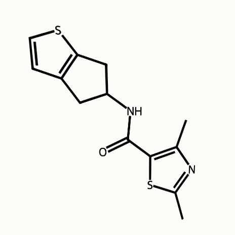 Cc1nc(C)c(C(=O)NC2Cc3ccsc3C2)s1